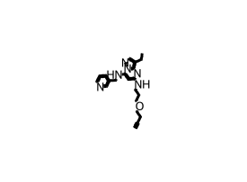 C#CCCOCCCNc1cc(NCc2cccnc2)n2ncc(CC)c2n1